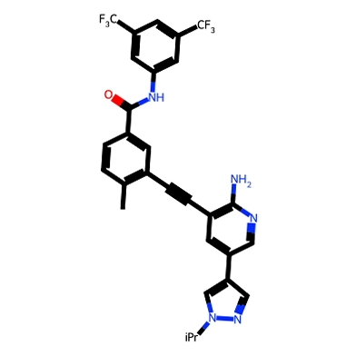 Cc1ccc(C(=O)Nc2cc(C(F)(F)F)cc(C(F)(F)F)c2)cc1C#Cc1cc(-c2cnn(C(C)C)c2)cnc1N